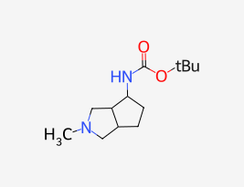 CN1CC2CCC(NC(=O)OC(C)(C)C)C2C1